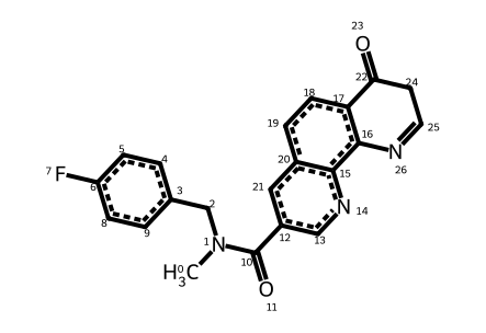 CN(Cc1ccc(F)cc1)C(=O)c1cnc2c3c(ccc2c1)C(=O)CC=N3